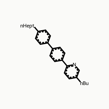 CCCCCCCc1ccc(-c2ccc(-c3ccc(CCCC)cn3)cc2)cc1